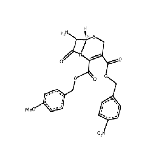 COc1ccc(COC(=O)C2=C(C(=O)OCc3ccc([N+](=O)[O-])cc3)CS[C@H]3C(N)C(=O)N23)cc1